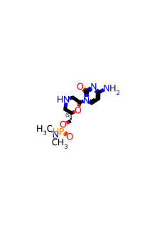 CN(C)[PH](=O)OC[C@@H]1CNCC(n2ccc(N)nc2=O)O1